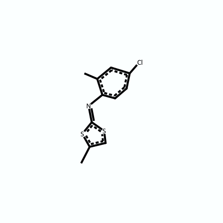 Cc1cs/c(=N\c2ccc(Cl)cc2C)s1